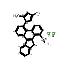 [CH3][Zr+2][c]1cccc2c1c1c(c3cccc(C4C=C(C(C)(C)C)C=C4C)c32)-c2ccccc2C1.[Cl-].[Cl-]